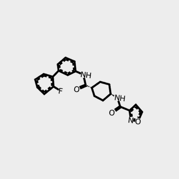 O=C(N[C@H]1CC[C@@H](C(=O)Nc2cccc(-c3ccccc3F)c2)CC1)c1ccon1